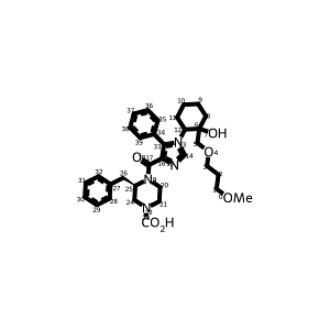 COCCCOCC1(O)CCCCC1n1cnc(C(=O)N2CCN(C(=O)O)C[C@H]2Cc2ccccc2)c1-c1ccccc1